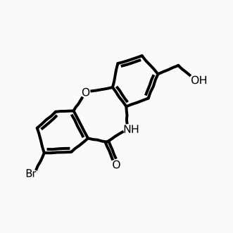 O=C1Nc2cc(CO)ccc2Oc2ccc(Br)cc21